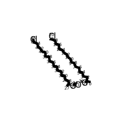 CC(CCC=CCCCCCCCCCCCCCCCl)OCOCOC(C)CCC=CCCCCCCCCCCCCCCCl